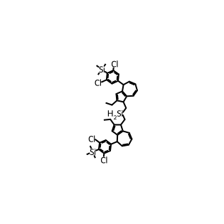 CCC1=CC2=C(C=CC=CC2c2cc(Cl)c([Si](C)(C)C)c(Cl)c2)C1C[SiH2]CC1C(CC)=CC2=C1C=CC=CC2c1cc(Cl)c([Si](C)(C)C)c(Cl)c1